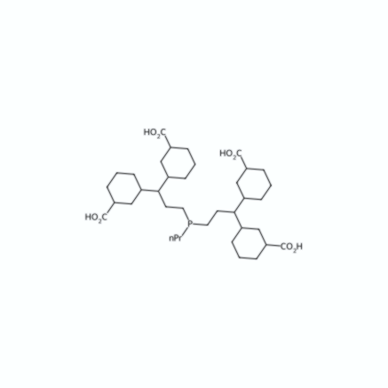 CCCP(CCC(C1CCCC(C(=O)O)C1)C1CCCC(C(=O)O)C1)CCC(C1CCCC(C(=O)O)C1)C1CCCC(C(=O)O)C1